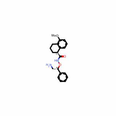 COc1cccc2c1CCC[C@@H]2C(=O)NO[C@@H](CN)c1ccccc1